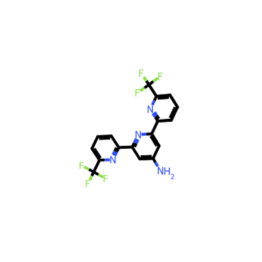 Nc1cc(-c2cccc(C(F)(F)F)n2)nc(-c2cccc(C(F)(F)F)n2)c1